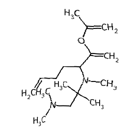 C=CCCC(C(=C)OC(=C)C)N(C)C(C)(C)CN(C)C